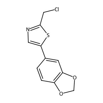 ClCc1ncc(-c2ccc3c(c2)OCO3)s1